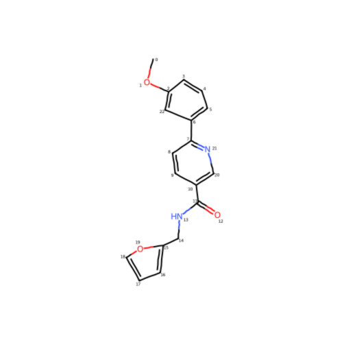 COc1cccc(-c2ccc(C(=O)NCc3ccco3)cn2)c1